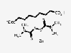 CCCCCCCCCCCCCCCCCC(=O)O.CN(C)C(=S)SSC(=S)N(C)C.[Zn]